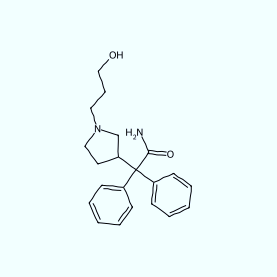 NC(=O)C(c1ccccc1)(c1ccccc1)C1CCN(CCCO)C1